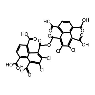 O=C(O)c1ccc(C(=O)O)c2c(C(=O)OC(=O)c3c(Cl)c(Cl)c(C(=O)O)c4c(C(=O)O)ccc(C(=O)O)c34)c(Cl)c(Cl)c(C(=O)O)c12